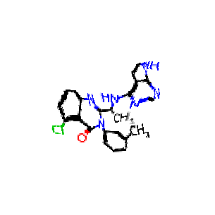 Cc1cccc(-n2c([C@H](C)Nc3ncnc4[nH]ccc34)nc3cccc(Cl)c3c2=O)c1